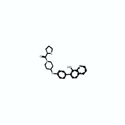 O=C(C1CCCO1)N1CCC(Oc2ccc(-c3ccc4cccnc4c3O)cc2)CC1